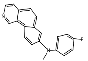 CN(c1ccc(F)cc1)c1ccc2c(ccc3ccncc32)c1